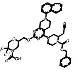 CC1(C)COC(COc2nc3c(c(N4CCN(C(=O)OCc5ccccc5)C(CC#N)C4)n2)CCN(c2cccc4ccccc24)C3)CN1C(=O)O